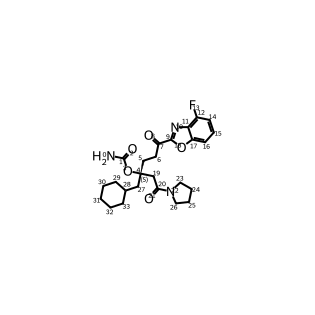 NC(=O)O[C@](CCC(=O)c1nc2c(F)cccc2o1)(CC(=O)N1CCCC1)CC1CCCCC1